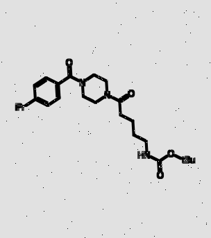 CC(C)c1ccc(C(=O)N2CCN(C(=O)CCCCNC(=O)OC(C)(C)C)CC2)cc1